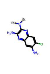 CCN(CC)c1nc2cc(Cl)c(N)cc2nc1N